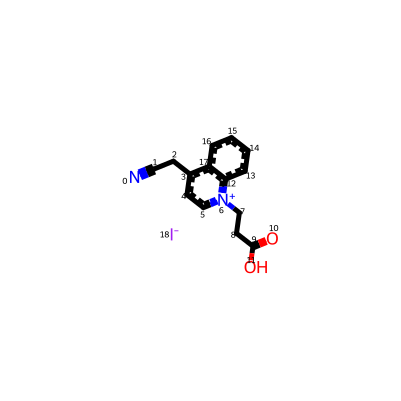 N#CCc1cc[n+](CCC(=O)O)c2ccccc12.[I-]